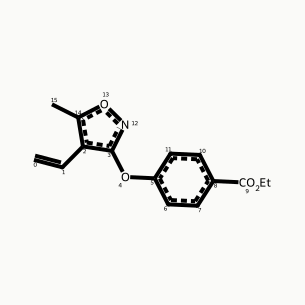 C=Cc1c(Oc2ccc(C(=O)OCC)cc2)noc1C